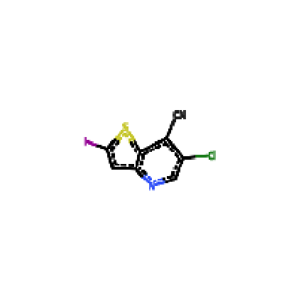 N#Cc1c(Cl)cnc2cc(I)sc12